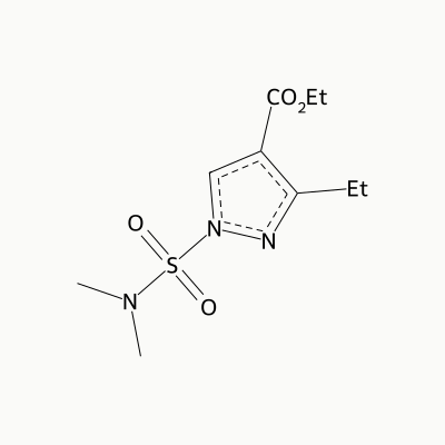 CCOC(=O)c1cn(S(=O)(=O)N(C)C)nc1CC